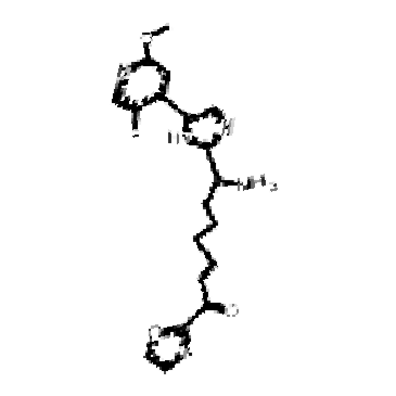 COc1cc(-c2cnc(C(N)CCCCCC(=O)c3ncco3)[nH]2)c(F)cn1